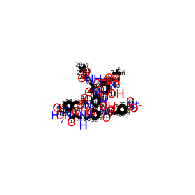 CN(C(=O)OC(C)(C)C)[C@@H]1[C@@H](O)[C@@H](O[C@H]2[C@H](NC(=O)[C@@H](O)CNC(=O)OC(C)(C)C)C[C@H](NC(=O)OCc3ccc([N+](=O)[O-])cc3)C([C@H]3OC(CNCC(O)C(N)=O)=CC[C@H]3NC(=O)OCc3ccc([N+](=O)[O-])cc3)[C@@H]2O)OC[C@]1(C)O